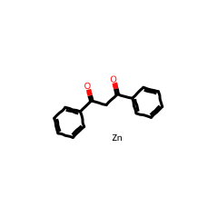 O=C(CC(=O)c1ccccc1)c1ccccc1.[Zn]